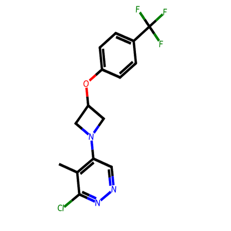 Cc1c(N2CC(Oc3ccc(C(F)(F)F)cc3)C2)cnnc1Cl